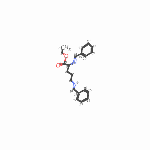 CCOC(=O)C(CCC/N=C/c1ccccc1)/N=C/c1ccccc1